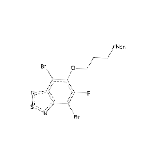 CCCCCCCCCCCCOc1c(F)c(Br)c2nsnc2c1Br